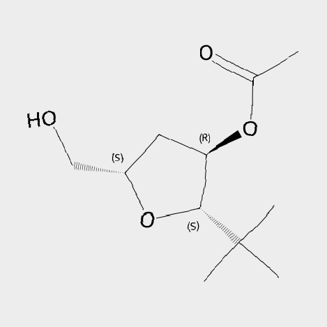 CC(=O)O[C@@H]1C[C@@H](CO)O[C@H]1C(C)(C)C